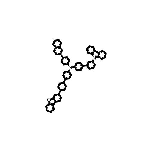 c1cc(-c2ccc(N(c3ccc(-c4ccc(-c5ccc6c(c5)oc5ccccc56)cc4)cc3)c3ccc(-c4ccc5ccccc5c4)cc3)cc2)cc(-n2c3ccccc3c3ccccc32)c1